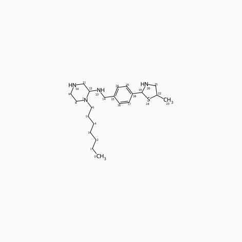 CCCCCCCN1CCNCC1NCc1ccc(C2NCC(C)S2)cc1